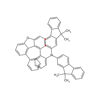 CC1(C)c2ccccc2-c2ccc(N(c3ccc4c(c3)C(C)(C)c3ccccc3-4)c3ccccc3-c3cccc4oc5cccc(-c6ccccc6)c5c34)cc21